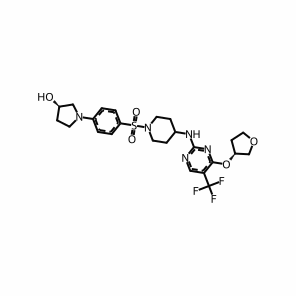 O=S(=O)(c1ccc(N2CC[C@@H](O)C2)cc1)N1CCC(Nc2ncc(C(F)(F)F)c(O[C@H]3CCOC3)n2)CC1